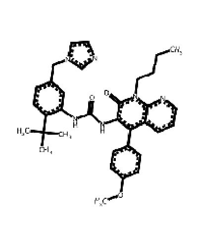 CCCCn1c(=O)c(NC(=O)Nc2cc(Cn3ccnc3)ccc2C(C)(C)C)c(-c2ccc(OC)cc2)c2cccnc21